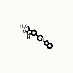 CCC1C(=O)Nc2cc(C3CCN(C4=Cc5ccccc5C4)CC3)ccc21